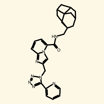 O=C(NCC12CC3CC4CC(C1)C4(C3)C2)c1cccc2nc(Cn3nnnc3-c3ccccn3)cn12